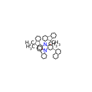 CC1(C)c2ccccc2-c2c(N(c3ccc(-c4cccc5ccccc45)cc3-n3c4ccccc4c4ccccc43)c3cccc4c3C(C)(C)c3ccccc3-4)cccc21